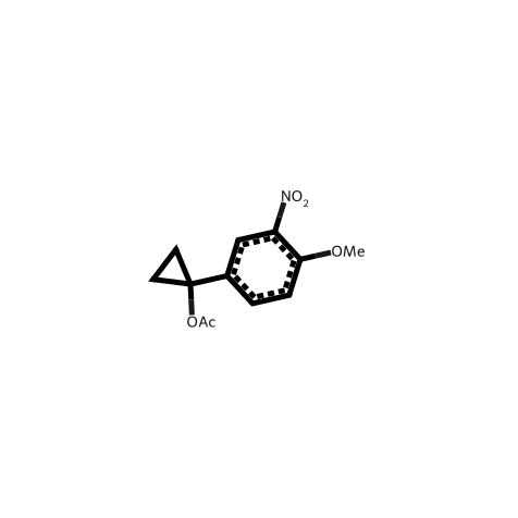 COc1ccc(C2(OC(C)=O)CC2)cc1[N+](=O)[O-]